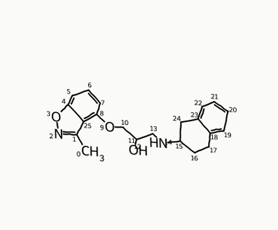 Cc1noc2cccc(OCC(O)CNC3CCc4ccccc4C3)c12